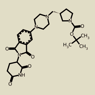 CC(C)(C)OC(=O)N1CC[C@@H](CN2CCN(c3ccc4c(c3)C(=O)N(C3CCC(=O)NC3=O)C4=O)CC2)C1